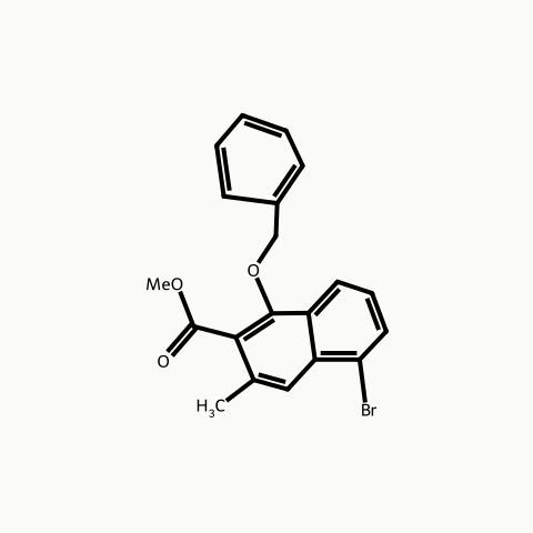 COC(=O)c1c(C)cc2c(Br)cccc2c1OCc1ccccc1